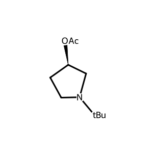 CC(=O)O[C@@H]1CCN(C(C)(C)C)C1